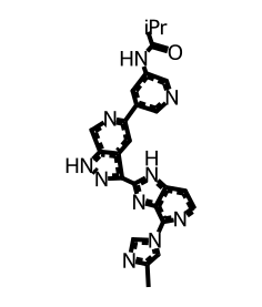 Cc1cn(-c2nccc3[nH]c(-c4n[nH]c5cnc(-c6cncc(NC(=O)C(C)C)c6)cc45)nc23)cn1